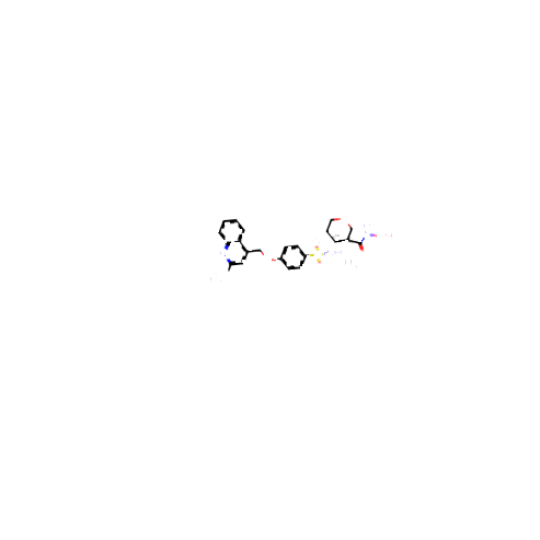 Cc1cc(COc2ccc(S(=O)(=O)N[C@@H]3CCOC[C@@]3(C)C(=O)NO)cc2)c2ccccc2n1